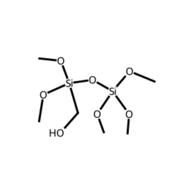 CO[Si](CO)(OC)O[Si](OC)(OC)OC